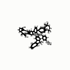 CC(C)(C)c1ccc(Nc2cc3c(cc2-c2ccc4c5cc6c(cc5n5c4c2Bc2cc4c(cc2-5)-c2ccccc2C4(C)C)C(C)(C)c2ccccc2-6)C(C)(C)CCC3(C)C)cc1